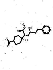 NC(=O)C1CCC(O)([C@H](C[C@@H](O)[CH]Cc2ccccc2)C(=O)NO)CC1